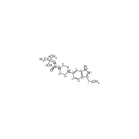 CCc1n[nH]c2cc(N3CCN(C(=O)OC(C)(C)C)CC3)ccc12